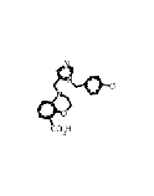 O=C(O)c1cccc2c1OCCN2Cc1cncn1Cc1ccc(Cl)cc1